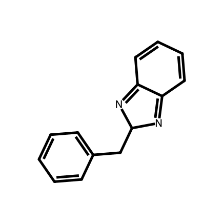 c1ccc(CC2N=c3ccccc3=N2)cc1